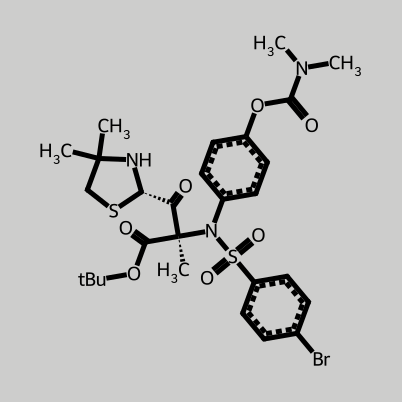 CN(C)C(=O)Oc1ccc(N([C@@](C)(C(=O)OC(C)(C)C)C(=O)[C@H]2NC(C)(C)CS2)S(=O)(=O)c2ccc(Br)cc2)cc1